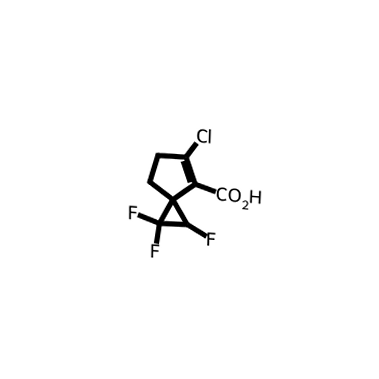 O=C(O)C1=C(Cl)CCC12C(F)C2(F)F